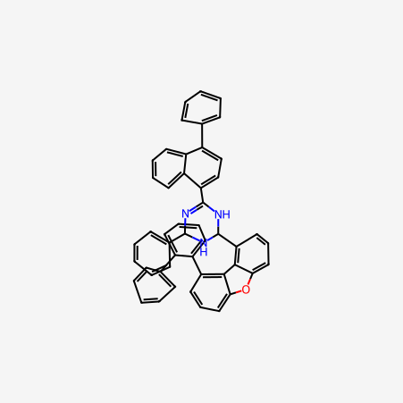 c1ccc(-c2ccccc2-c2cccc3oc4cccc(C5NC(c6ccc(-c7ccccc7)c7ccccc67)=NC(c6ccccc6)N5)c4c23)cc1